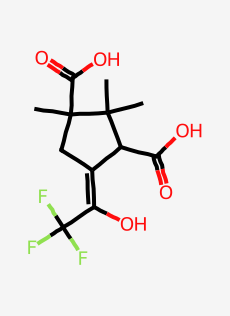 CC1(C(=O)O)C/C(=C(/O)C(F)(F)F)C(C(=O)O)C1(C)C